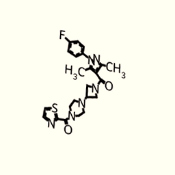 Cc1nn(-c2ccc(F)cc2)c(C)c1C(=O)N1CC(N2CCN(C(=O)c3nccs3)CC2)C1